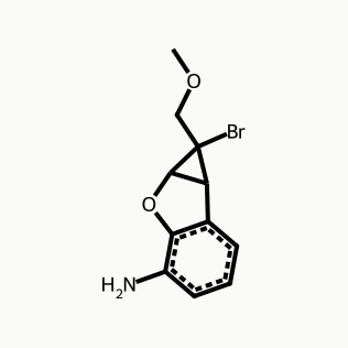 COCC1(Br)C2Oc3c(N)cccc3C21